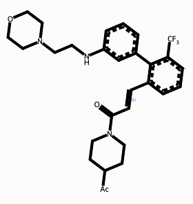 CC(=O)C1CCN(C(=O)/C=C/c2cc[c]c(C(F)(F)F)c2-c2cccc(NCCN3CCOCC3)c2)CC1